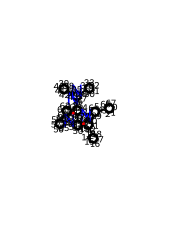 c1ccc(-c2ccc3c(c2)c2cc(-c4ccccc4)ccc2n3-c2cc(-c3cc(-c4ccccc4)nc(-c4ccccc4)n3)ccc2-c2ccccc2-n2c3ccccc3c3ccccc32)cc1